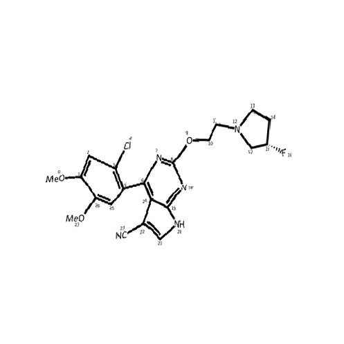 COc1cc(Cl)c(-c2nc(OCCN3CC[C@H](F)C3)nc3[nH]cc(C#N)c23)cc1OC